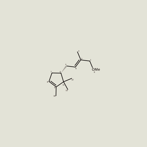 COC/C(C)=C/C[C@H]1CC=C(C)C1(C)C